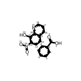 O=C(O)c1ccccc1.O=[N+]([O-])c1ccc2cccnc2c1O